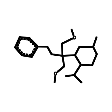 COCC(CCc1ccccc1)(COC)C1CC(C)CCC1C(C)C